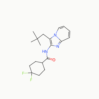 CC(C)(C)Cc1c(NC(=O)C2CCC(F)(F)CC2)nc2ccccn12